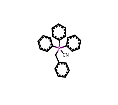 N#CP(Cc1ccccc1)(c1ccccc1)(c1ccccc1)c1ccccc1